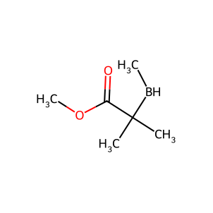 CBC(C)(C)C(=O)OC